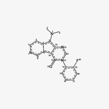 CN(C)c1c2ccnsc-2c2c(=O)n(-c3ccccc3F)cnc12